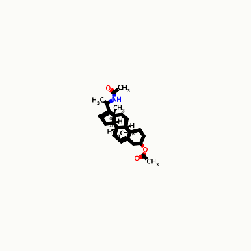 CC(=O)NC(C)C1=CC[C@H]2[C@@H]3CC=C4CC(OC(C)=O)CC[C@]4(C)[C@H]3CC[C@]12C